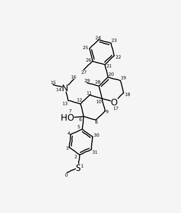 CSc1ccc(C2(O)CCC3(CC2CN(C)C)OCCC(c2ccccc2C)=C3C)cc1